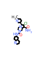 Cc1ccc(-c2c(Cl)c(C(N)=O)c3n2CCN(C(=O)Nc2ccc4ncccc4c2)C3)cn1